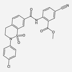 COC(=O)c1cc(C#N)ccc1NC(=O)c1ccc2c(c1)S(=O)(=O)N(c1ccc(Cl)cc1)CC2